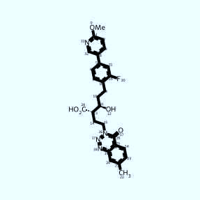 COc1ccc(-c2ccc(CC[C@@H](O)[C@H](CCn3nnc4cc(C)ccc4c3=O)C(=O)O)c(F)c2)cn1